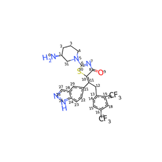 N[C@H]1CCCN(C2=NC(=O)C(=C(Cc3ccc(C(F)(F)F)cc3C(F)(F)F)c3ccc4[nH]ncc4c3)S2)C1